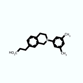 Cc1cc(C)cc(N2CCc3ccc(CCC(=O)O)cc3C2)c1